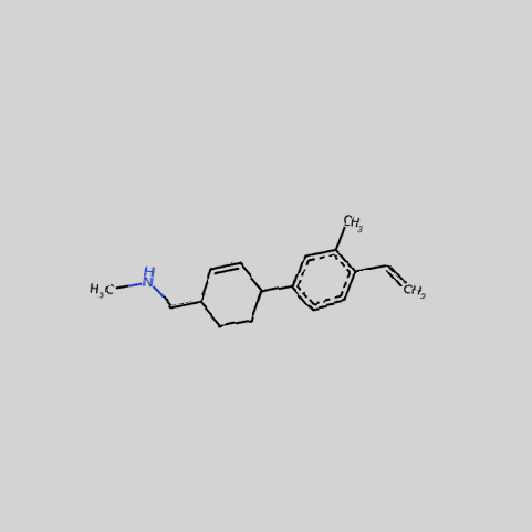 C=Cc1ccc(C2C=CC(CNC)CC2)cc1C